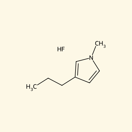 CCCc1ccn(C)c1.F